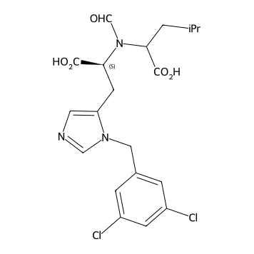 CC(C)CC(C(=O)O)N(C=O)[C@@H](Cc1cncn1Cc1cc(Cl)cc(Cl)c1)C(=O)O